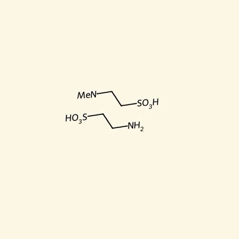 CNCCS(=O)(=O)O.NCCS(=O)(=O)O